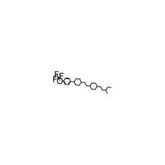 CCC(C)CCC1CCC(CCC2CCC(c3ccc(OC(F)(F)F)cc3)CC2)CC1